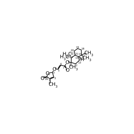 CC1=CC(O/C=C/C(=O)O[C@]2(C)CC[C@H]3C(C)(C)CCC[C@]3(C)[C@H]2C)OC1=O